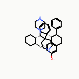 O=C[C@H]1CCCC[C@@H]1C(N1CCNCC1)C1(C2([C@H]3c4ccc(O)cc4CC[C@@H]3c3ccccc3)C=CC=CC2)CCNCC1